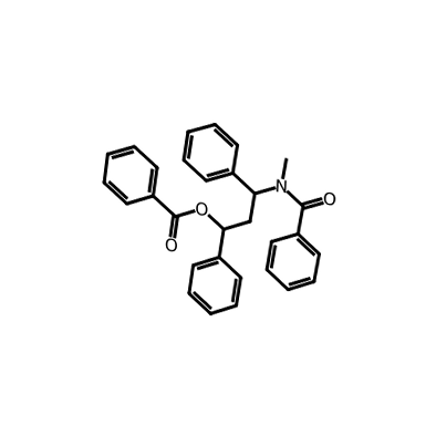 CN(C(=O)c1ccccc1)C(CC(OC(=O)c1ccccc1)c1ccccc1)c1ccccc1